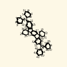 c1ccc(N(c2ccccc2)c2ccc3c(c2)C2(CCCCC2)c2cc4c(cc2-3)C2(CCCCC2)c2cc(N(c3ccccc3)c3ccccc3)ccc2-4)cc1